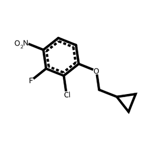 O=[N+]([O-])c1ccc(OCC2CC2)c(Cl)c1F